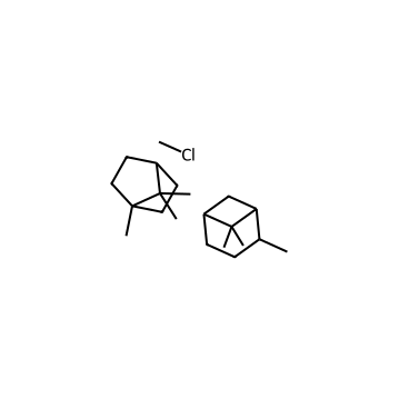 CC12CCC(CC1)C2(C)C.CC1CCC2CC1C2(C)C.CCl